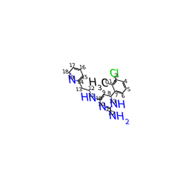 Cc1c(Cl)cccc1C1C=C(NCCc2ccccn2)N=C(N)N1